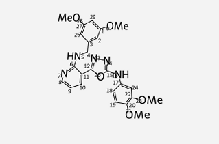 COc1cc(CNc2ncccc2-c2nnc(Nc3ccc(OC)c(OC)c3)o2)cc(OC)c1